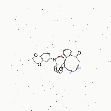 C=C1/C=C\C=C/CC(=O)c2ccccc2C12c1ccccc1N(c1ccc3c(c1)OCCO3)c1ccccc12